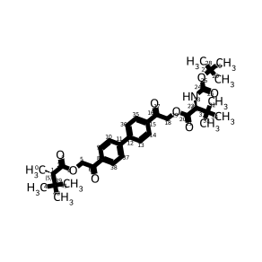 C[C@H](C(=O)OCC(=O)c1ccc(-c2ccc(C(=O)COC(=O)[C@@H](NC(=O)OC(C)(C)C)C(C)(C)C)cc2)cc1)C(C)(C)C